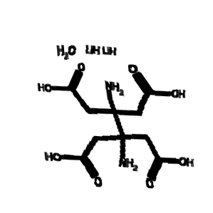 NC(CC(=O)O)(CC(=O)O)C(N)(CC(=O)O)CC(=O)O.O.[LiH].[LiH]